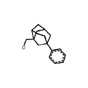 ClCC12CC3CC1CC(c1ccccc1)(C3)C2